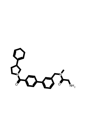 CN(Cc1cccc(-c2ccc(C(=O)N3CCC(C4=CCCC=C4)C3)cc2)c1)C(=O)CN